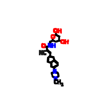 CN1CCN(c2ccc3cc(/C=C(\C#N)C(=O)NCC4CC(O)CC(O)O4)ccc3c2)CC1